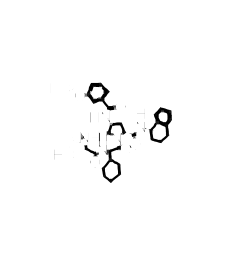 CN[C@@H](C)C(=O)N[C@H](C(=O)N1CC(NC(=O)c2cccc(OC)c2)C[C@H]1C(=O)N[C@@H]1CCCc2ccccc21)C1CCCCC1